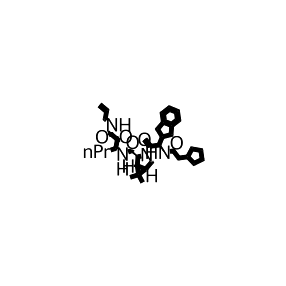 C=CCNC(=O)C(=O)C(CCC)NC(=O)[C@@H]1[C@@H]2[C@H](CN1C(=O)[C@@H](NC(=O)CC1CCCC1)C1Cc3ccccc3C1)C2(C)C